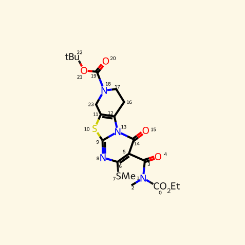 CCOC(=O)N(C)C(=O)c1c(SC)nc2sc3c(n2c1=O)CCN(C(=O)OC(C)(C)C)C3